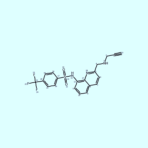 C#CCNCc1ccc2cccc(NS(=O)(=O)c3ccc(C(F)(F)F)cc3)c2n1